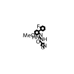 COc1ccc(-c2ccccc2F)c2nc(NC(=O)c3cnn(C)c3)[nH]c12